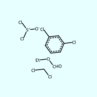 CCOC=O.ClCCl.Clc1cccc(Cl)c1.[O-][S+](Cl)Cl